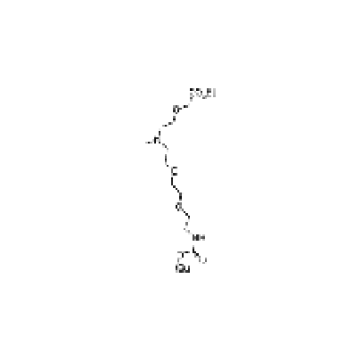 CCOC(=O)COCCN(C)CCOCCOCCNC(=O)OC(C)(C)C